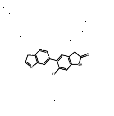 O=C1Cc2cc(-c3ccc4c(c3)N=CC4)c(Cl)cc2N1